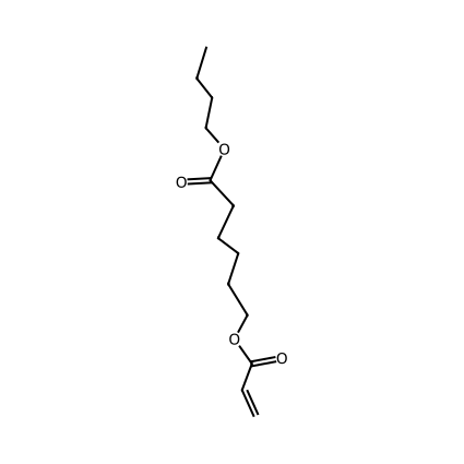 C=CC(=O)OCCCCCC(=O)OCCCC